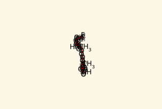 CN(CCOCCOCCOCCOCCN(C)c1ccc2c(c1)C(=O)N(C1CCC(=O)NC1=O)C2=O)C(=O)c1cc2cc(N3CC[C@H](C(=O)NCc4cc(F)cc(F)c4)C3=O)ccc2[nH]1